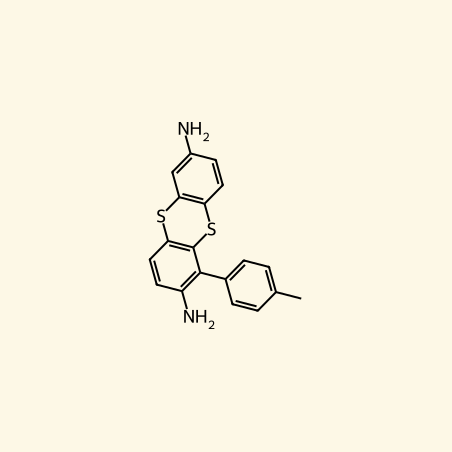 Cc1ccc(-c2c(N)ccc3c2Sc2ccc(N)cc2S3)cc1